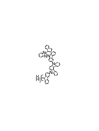 CC1(C)c2ccccc2-c2cc(-n3c4ccccc4c4c5c6ccccc6n(-c6ccc7c(c6)c6ccccc6n7-c6nc7ccccc7nc6-c6cccc7ccccc67)c5ccc43)ccc21